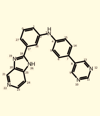 c1cc(Nc2ccc(-c3cncnc3)cc2)cc(-c2nc3cnccc3[nH]2)c1